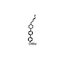 COc1ccc(-c2ccc(C3CCC(CCC=CF)CC3)cc2)cc1